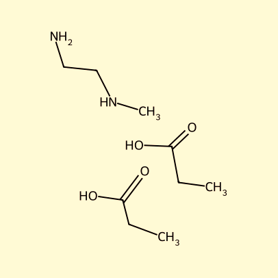 CCC(=O)O.CCC(=O)O.CNCCN